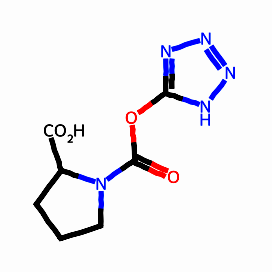 O=C(O)C1CCCN1C(=O)Oc1nnn[nH]1